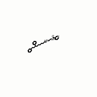 O=C(NCCNCCCCCCCC(CCc1ccccc1)c1ccccc1)c1cccnc1